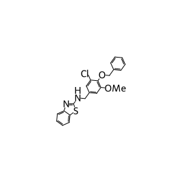 COc1cc(CNc2nc3ccccc3s2)cc(Cl)c1OCc1ccccc1